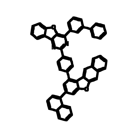 c1ccc(-c2cccc(-c3nc(-c4ccc(-c5cc(-c6cccc7ccccc67)cc6oc7cc8ccccc8cc7c56)cc4)nc4c3oc3ccccc34)c2)cc1